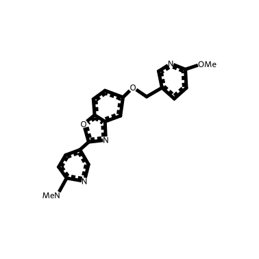 CNc1ccc(-c2nc3cc(OCc4ccc(OC)nc4)ccc3o2)cn1